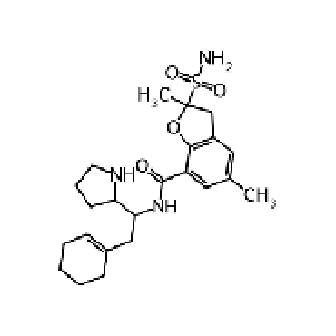 Cc1cc2c(c(C(=O)NC(CC3=CCCCC3)C3CCCN3)c1)OC(C)(S(N)(=O)=O)C2